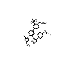 COCc1ccc(-c2ccc(-n3cc(C(F)(F)F)nc3C)c(-n3nncc3-c3ccc(OC(F)(F)F)cc3)c2)cc1S(C)(=O)=O